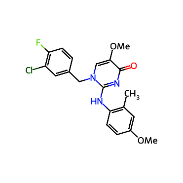 COc1ccc(Nc2nc(=O)c(OC)cn2Cc2ccc(F)c(Cl)c2)c(C)c1